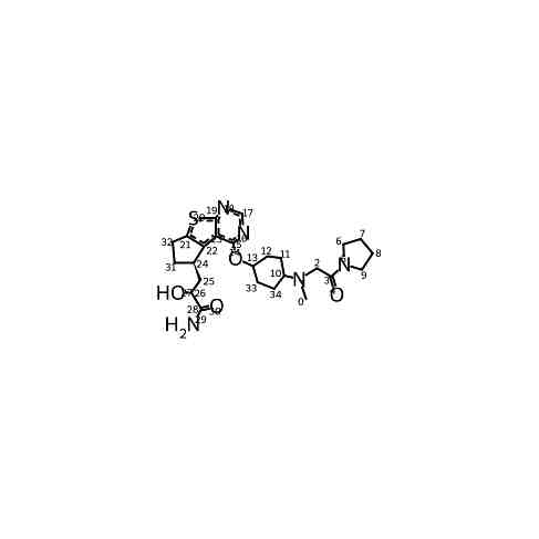 CN(CC(=O)N1CCCC1)C1CCC(Oc2ncnc3sc4c(c23)[C@@H](C[C@H](O)C(N)=O)CC4)CC1